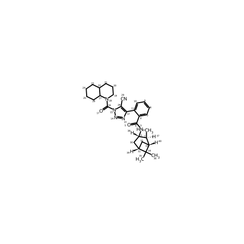 C[C@@H]1[C@@H](NC(=O)c2ccccc2-c2nnn(C(=O)N3CCCC4CCCCC43)c2C#N)C[C@@H]2C[C@H]1C2(C)C